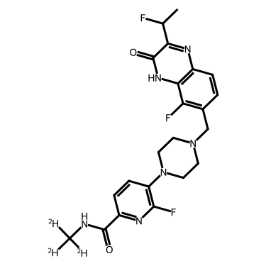 [2H]C([2H])([2H])NC(=O)c1ccc(N2CCN(Cc3ccc4nc(C(C)F)c(=O)[nH]c4c3F)CC2)c(F)n1